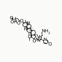 COc1ccc(-c2nnc(C[C@@]34CC[C@]5(C)[C@H](CC[C@@H]6[C@@]7(C)CC[C@H](OC(=O)CC(C)(C)C(=O)O)C(C)(C)[C@@H]7CC[C@]65C)C3=C(C(C)C)C(=O)C4)n2CCN)nc1